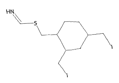 N=CSCC1CCC(CI)CC1CI